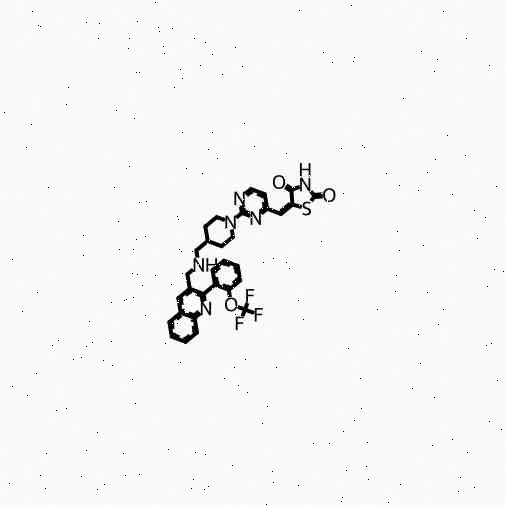 O=C1NC(=O)/C(=C\c2ccnc(N3CCC(CNCc4cc5ccccc5nc4-c4ccccc4OC(F)(F)F)CC3)n2)S1